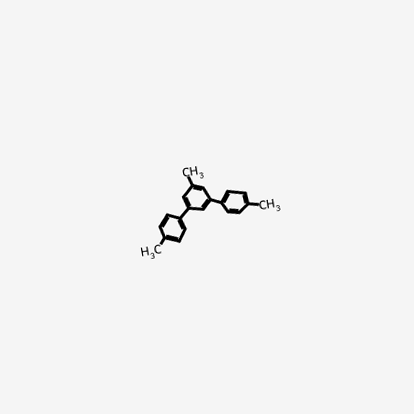 Cc1ccc(-c2cc(C)cc(-c3ccc(C)cc3)c2)cc1